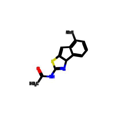 CSc1cccc2c1C=C1SC(NC(=O)C(=O)O)=NC12